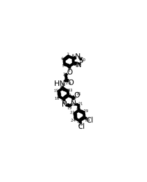 O=C(COc1cccc2nsnc12)Nc1ccc2ncn(Cc3ccc(Cl)c(Cl)c3)c(=O)c2c1